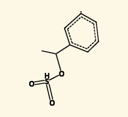 CC(O[SH](=O)=O)c1c[c]ccc1